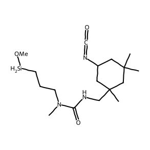 CO[SiH2]CCCN(C)C(=O)NCC1(C)CC(N=C=O)CC(C)(C)C1